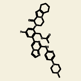 CC(=O)OCc1c(-c2cn3ccnc3c(Nc3ccc(N4CCN(C)CC4)cn3)n2)cc(F)cc1N1CCn2c(cc3c2CCCC3)C1=O